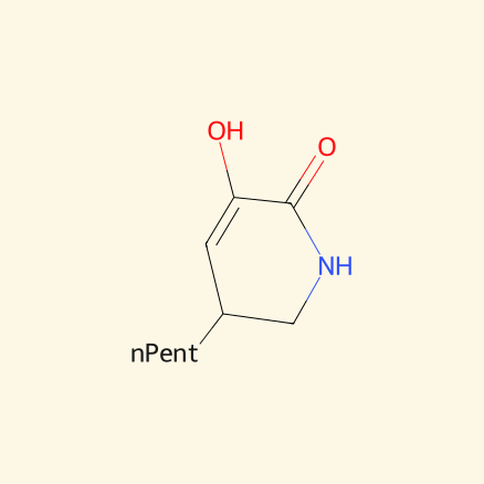 CCCCCC1C=C(O)C(=O)NC1